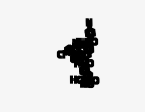 N#CC1CCN(C(=O)Nc2ccc(C[C@@H](C(=O)Nc3ccc4c(c3)cc(C(=O)O)n4C(=O)O)N3CCN(c4cc(Cl)ccc4-n4cnnn4)C(=O)C3=O)cc2)CC1